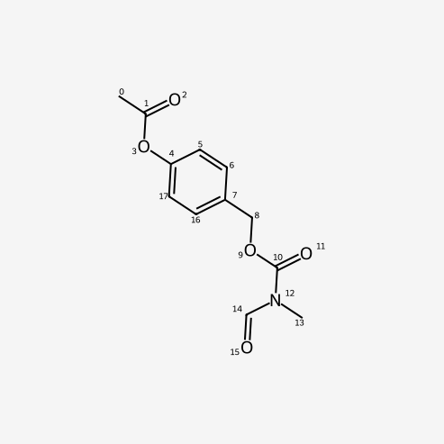 CC(=O)Oc1ccc(COC(=O)N(C)C=O)cc1